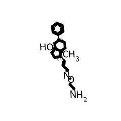 C[C@]12CC[C@H](c3ccccc3)C[C@@]1(O)CC[C@@H]2C=CC=NOCCN